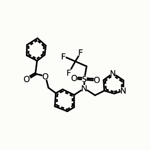 O=C(OCc1cccc(N(Cc2cncnc2)S(=O)(=O)CC(F)(F)F)c1)c1ccccc1